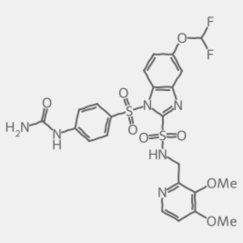 COc1ccnc(CNS(=O)(=O)c2nc3cc(OC(F)F)ccc3n2S(=O)(=O)c2ccc(NC(N)=O)cc2)c1OC